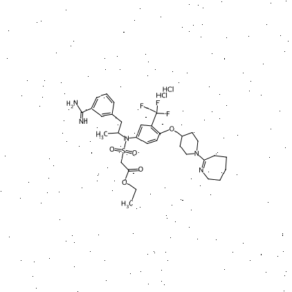 CCOC(=O)CS(=O)(=O)N(c1ccc(OC2CCN(C3=NCCCCC3)CC2)c(C(F)(F)F)c1)C(C)Cc1cccc(C(=N)N)c1.Cl.Cl